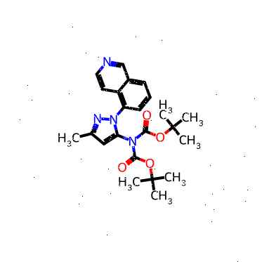 Cc1cc(N(C(=O)OC(C)(C)C)C(=O)OC(C)(C)C)n(-c2cccc3cnccc23)n1